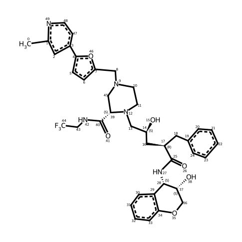 Cc1cc(-c2ccc(CN3CCN(C[C@@H](O)C[C@@H](Cc4ccccc4)C(=O)N[C@H]4c5ccccc5OC[C@H]4O)[C@H](C(=O)NCC(F)(F)F)C3)o2)ccn1